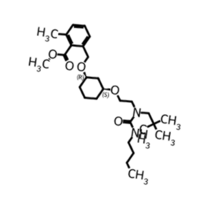 CCCCNC(=O)N(CCO[C@H]1CCC[C@@H](OCc2cccc(C)c2C(=O)OC)C1)CC(C)(C)C